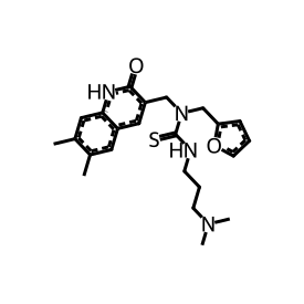 Cc1cc2cc(CN(Cc3ccco3)C(=S)NCCCN(C)C)c(=O)[nH]c2cc1C